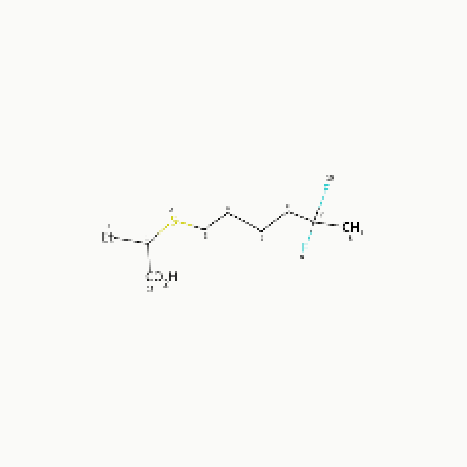 CCC(SCCCCC(C)(F)F)C(=O)O